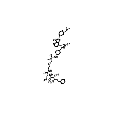 CCN1CC(c2ccnc3[nH]c(-c4cccc(CN(C)C)c4)cc23)C(c2ccc(NC(=O)N(C)COCCNC(=O)C(CC(C)C)NC(=O)C(O)C(N)CCc3ccccc3)cc2)=N1